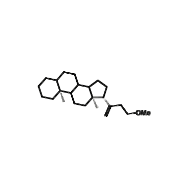 [CH]OCCC(=C)[C@H]1CCC2C3CCC4CCCC[C@]4(C)C3CC[C@@]21C